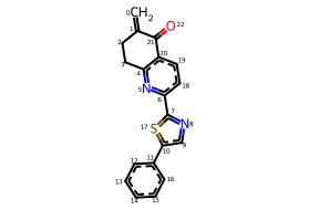 C=C1CCc2nc(-c3ncc(-c4ccccc4)s3)ccc2C1=O